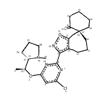 C[C@H](Oc1cc(Cl)nc(-c2noc3c2CCC[C@@]32CCCCC2=O)n1)[C@@H]1CCCN1C